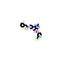 C/C(=N/Oc1ccnc(C(F)(F)F)c1)c1cnc(C)nc1C1CCN(C(=O)Cc2c(F)cccc2F)CC1